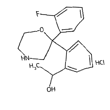 CC(O)c1ccccc1C1(c2ccccc2F)CNCCO1.Cl